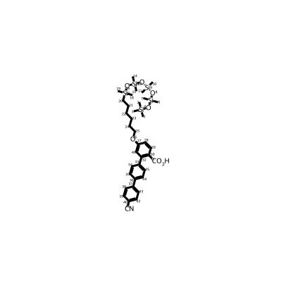 C[Si](C)(C)O[Si](C)(C)O[Si](C)(C)O[Si](C)(C)O[Si](C)(C)CCCCCCOc1ccc(C(=O)O)c(-c2ccc(-c3ccc(C#N)cc3)cc2)c1